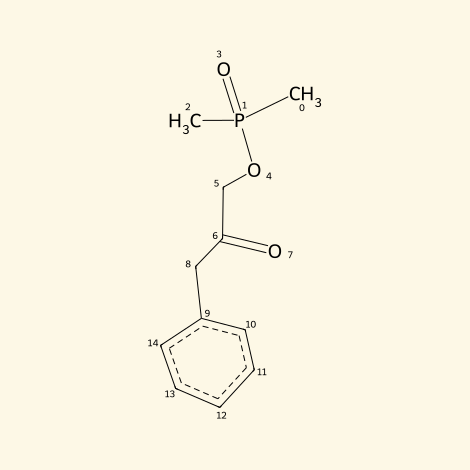 CP(C)(=O)OCC(=O)Cc1ccccc1